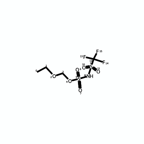 CCOCOS(=O)(=O)NS(=O)(=O)C(F)(F)F